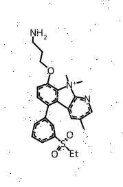 CCS(=O)(=O)c1cccc(-c2ccc(OCCCN)c3c2-c2cc(C)cnc2[N+]3(C)C)c1